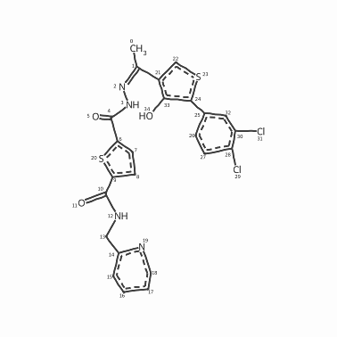 C/C(=N/NC(=O)c1ccc(C(=O)NCc2ccccn2)s1)c1csc(-c2ccc(Cl)c(Cl)c2)c1O